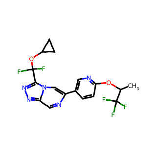 CC(Oc1ccc(-c2cn3c(C(F)(F)OC4CC4)nnc3cn2)cn1)C(F)(F)F